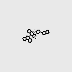 c1ccc2cc(-c3ccc(Sc4c5ccccc5c(-c5cc6ccccc6c6ccccc56)c5cnccc45)cc3)ccc2c1